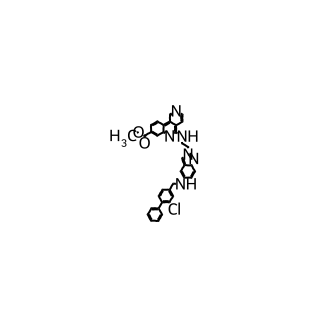 COC(=O)c1ccc2c(c1)nc(NCCn1cc3cc(NCc4ccc(-c5ccccc5)c(Cl)c4)ccc3n1)c1ccncc12